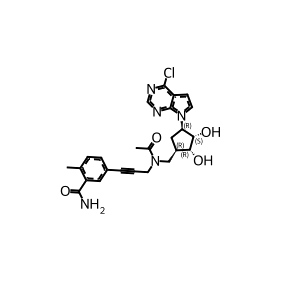 CC(=O)N(CC#Cc1ccc(C)c(C(N)=O)c1)C[C@H]1C[C@@H](n2ccc3c(Cl)ncnc32)[C@H](O)[C@@H]1O